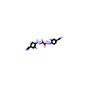 N#Cc1ccc(NNC(=O)C(=O)NNc2ccc(C#N)cc2F)c(F)c1